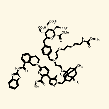 COC(=O)[C@@H]1OC(Cc2ccc(CN(CCOCCOCCNC(=O)OC(C)(C)C)CCOC34CC5(C)CC(C)(CC(Cn6ncc(-c7ccc(N8CCc9cccc(C(=O)Nc%10nc%11ccccc%11s%10)c9C8)nc7C(=O)OC(C)(C)C)c6C)(C5)C3)C4)cc2)[C@H](CC(=O)O)[C@H](CC(=O)O)[C@H]1CC(=O)O